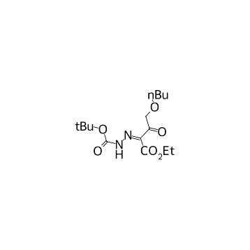 CCCCOCC(=O)C(=NNC(=O)OC(C)(C)C)C(=O)OCC